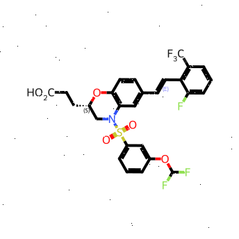 O=C(O)CC[C@H]1CN(S(=O)(=O)c2cccc(OC(F)F)c2)c2cc(/C=C/c3c(F)cccc3C(F)(F)F)ccc2O1